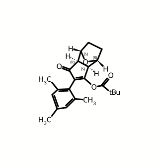 Cc1cc(C)c(C2=C(OC(=O)C(C)(C)C)[C@H]3[C@@H](C2=O)[C@@H]2CC[C@H]3O2)c(C)c1